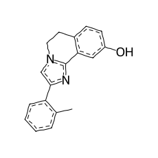 Cc1ccccc1-c1cn2c(n1)-c1cc(O)ccc1CC2